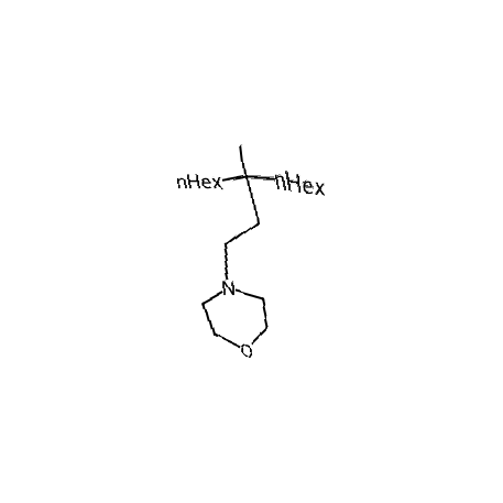 CCCCCCC(C)(CCCCCC)CCN1CCOCC1